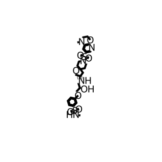 CNS(=O)(=O)c1cccc(OCC(O)CN[C@@H]2COC3(CCN(S(=O)(=O)c4cnc5c(c4)N(C)CCO5)CC3)C2)c1